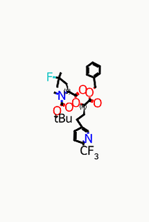 CN(C(=O)OC(C)(C)C)[C@@H](CC(C)(C)F)C(=O)O[C@H](CCc1ccc(C(F)(F)F)nc1)C(=O)OCc1ccccc1